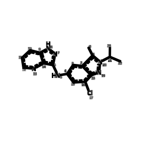 Cc1c2cc(Nc3n[nH]c4cccnc34)cc(Cl)c2nn1C(C)C